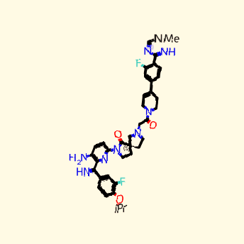 CN/C=N\C(=N)c1ccc(C2=CCN(C(=O)CN3CC[C@]4(CCN(c5ccc(N)c(C(=N)c6ccc(OC(C)C)c(F)c6)n5)C4=O)C3)CC2)cc1F